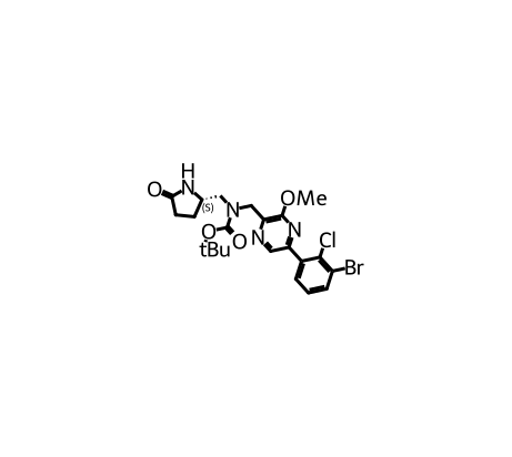 COc1nc(-c2cccc(Br)c2Cl)cnc1CN(C[C@@H]1CCC(=O)N1)C(=O)OC(C)(C)C